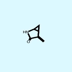 C=C1C(=O)NC2CC12